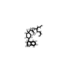 C/C=C\C/C(=C\CC)NC(=O)CC1(C)CCC(c2ccnc3ccccc23)CC1